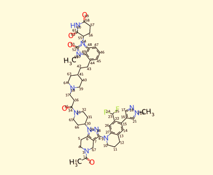 CC(=O)N1CCc2c(c(N3CCCc4cc(-c5cnn(C)c5)c(C(F)F)cc43)nn2C2CCN(C(=O)CCN3CCC(CCc4cccc5c4n(C)c(=O)n5C4CCC(=O)NC4=O)CC3)CC2)C1